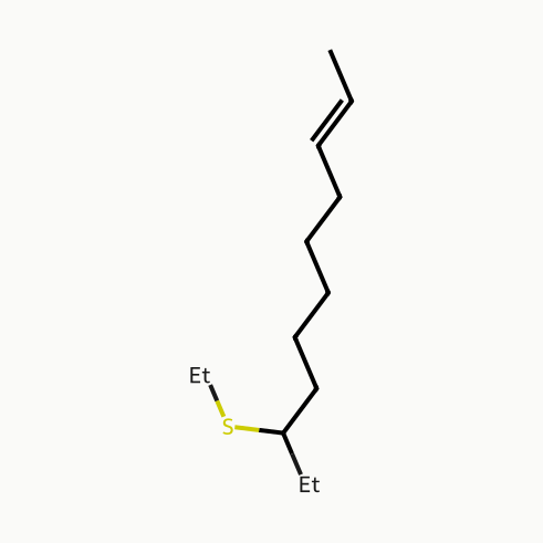 CC=CCCCCCC(CC)SCC